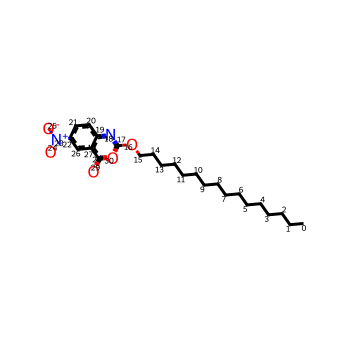 CCCCCCCCCCCCCCCCOc1nc2ccc([N+](=O)[O-])cc2c(=O)o1